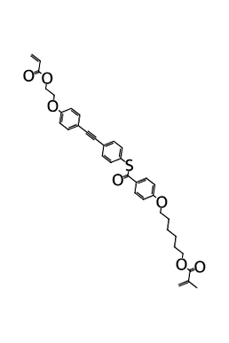 C=CC(=O)OCCOc1ccc(C#Cc2ccc(SC(=O)c3ccc(OCCCCCCOC(=O)C(=C)C)cc3)cc2)cc1